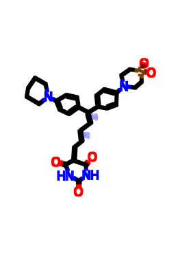 O=C1NC(=O)C(=C/C=C/C=C(\c2ccc(N3CCCCC3)cc2)c2ccc(N3CCS(=O)(=O)CC3)cc2)C(=O)N1